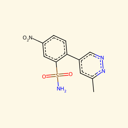 Cc1cc(-c2ccc([N+](=O)[O-])cc2S(N)(=O)=O)cnn1